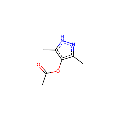 CC(=O)Oc1c(C)n[nH]c1C